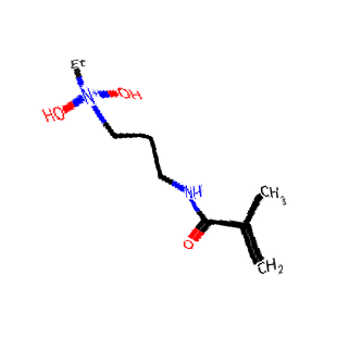 C=C(C)C(=O)NCCC[N+](O)(O)CC